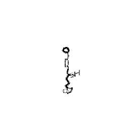 SC(CCCC1CCCO1)CCOCc1ccccc1